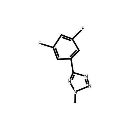 Cn1nnc(-c2cc(F)cc(F)c2)n1